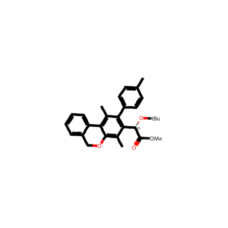 COC(=O)[C@@H](OC(C)(C)C)c1c(C)c2c(c(C)c1-c1ccc(C)cc1)-c1ccccc1CO2